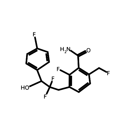 NC(=O)c1c(CF)ccc(CC(F)(F)C(O)c2ccc(F)cc2)c1F